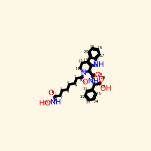 O=C(CCCCCCC(=O)N1CCc2c([nH]c3ccccc23)C1C(=O)N[C@H](C(=O)O)c1ccccc1)NO